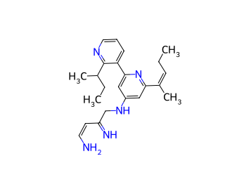 CC/C=C(/C)c1cc(NCC(=N)/C=C\N)cc(-c2cccnc2C(C)CC)n1